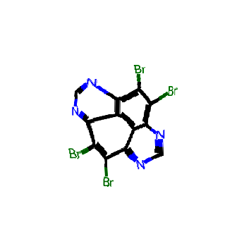 Brc1c(Br)c2ncnc3c(Br)c(Br)c4ncnc1c4c23